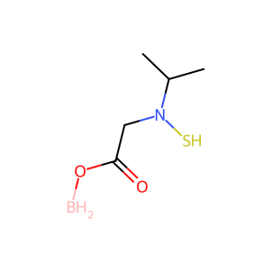 BOC(=O)CN(S)C(C)C